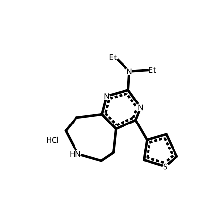 CCN(CC)c1nc2c(c(-c3ccsc3)n1)CCNCC2.Cl